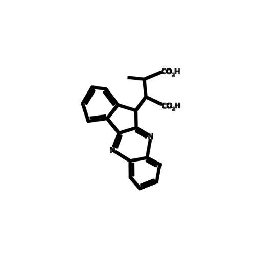 CC(C(=O)O)C(C(=O)O)C1c2ccccc2-c2nc3ccccc3nc21